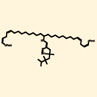 CCCCC/C=C\C/C=C\CCCCCCCCC(CCCCCCCC/C=C\C/C=C\CCCCC)N/C=C(/CC(C)(C)CC(C)(C)N(C)C)N=N